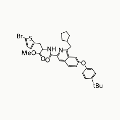 COC(=O)C(Cc1ccc(Br)s1)NC(=O)c1cc2ccc(Oc3ccc(C(C)(C)C)cc3)cc2c(CC2CCCC2)n1